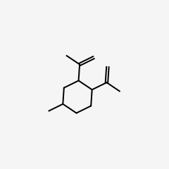 C=C(C)C1CCC(C)CC1C(=C)C